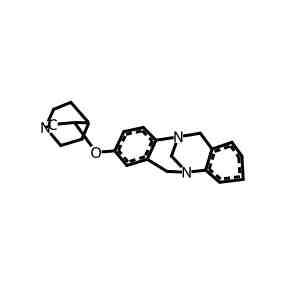 c1ccc2c(c1)CN1CN2Cc2cc(OC3CN4CCC3CC4)ccc21